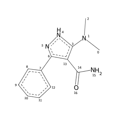 CN(C)c1[nH]nc(-c2ccccc2)c1C(N)=O